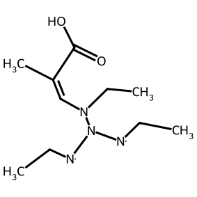 CC[N]N([N]CC)N(C=C(C)C(=O)O)CC